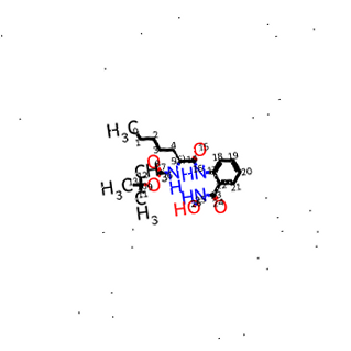 CCCCC[C@H](NC(=O)OC(C)(C)C)C(=O)Nc1ccccc1C(=O)NO